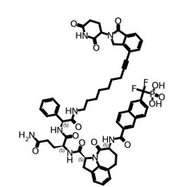 NC(=O)CC[C@H](NC(=O)[C@@H]1Cc2cccc3c2N1C(=O)[C@@H](NC(=O)c1ccc2cc(C(F)(F)P(=O)(O)O)ccc2c1)CC3)C(=O)N[C@H](C(=O)NCCCCCCCC#Cc1cccc2c1CN(C1CCC(=O)NC1=O)C2=O)c1ccccc1